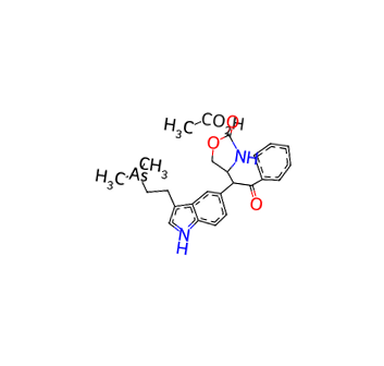 CC(=O)O.C[As](C)CCc1c[nH]c2ccc(C(C(=O)c3ccccc3)C3COC(=O)N3)cc12